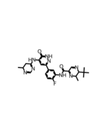 CC1CC(Nc2cc(-c3ccc(F)c(NC(=O)C4=NC(C)C(C(C)(C)C)N=C4)c3)n[nH]c2=O)=NC=N1